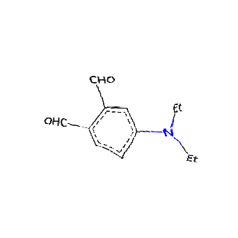 CCN(CC)c1ccc(C=O)c(C=O)c1